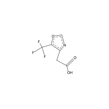 O=C(O)Cc1ncoc1C(F)(F)F